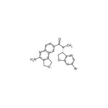 CN(C(=O)c1ccc2nc(N)c3c(c2c1)COC3)[C@H]1COc2cc(Br)cnc21